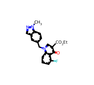 CCOC(=O)c1cn(Cc2ccc3c(cnn3C)c2)c2cccc(F)c2c1=O